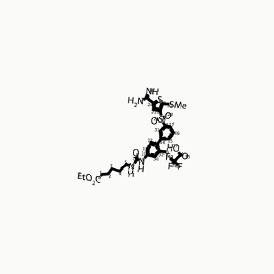 CCOC(=O)CCCCCNC(=O)Nc1ccc(-c2cccc(S(=O)(=O)c3cc(C(=N)N)sc3SC)c2)c(C)c1.O=C(O)C(F)(F)F